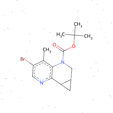 Cc1c(Br)cnc2c1N(C(=O)OC(C)(C)C)CC1CC21